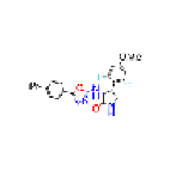 COc1cc(F)c(C2CNC(=O)[C@@H]2Nc2nnc(-c3ccc(C(C)C)cc3)o2)c(F)c1